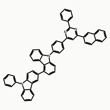 c1ccc(-c2nc(-c3ccc(-n4c5ccccc5c5c(-c6ccc7c(c6)c6ccccc6n7-c6ccccc6)cccc54)cc3)cc(-c3ccc4ccccc4c3)n2)cc1